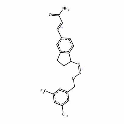 NC(=O)/C=C/c1ccc2c(c1)CCC2/N=N\OCc1cc(C(F)(F)F)cc(C(F)(F)F)c1